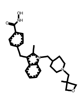 Cc1c(Cc2ccc(C(=O)NO)cc2)c2ccccc2n1CC1CCN(CC2(C)COC2)CC1